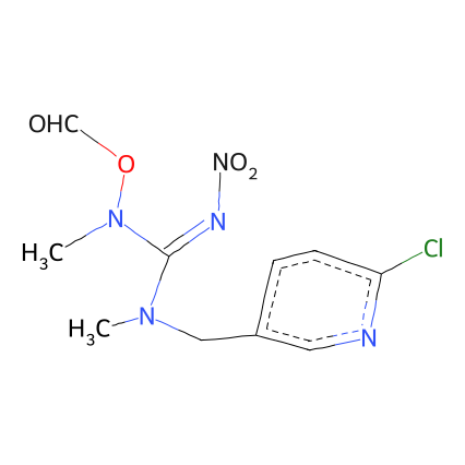 CN(Cc1ccc(Cl)nc1)C(=N[N+](=O)[O-])N(C)OC=O